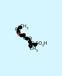 Cc1ccc(C(=O)c2ccc(Oc3ccc4c(Oc5ccc(C(=O)c6ccc(-c7ccc(C)cc7C(=O)c7cccc(S(=O)(=O)O)c7)cc6)cc5)cccc4c3)cc2)cc1